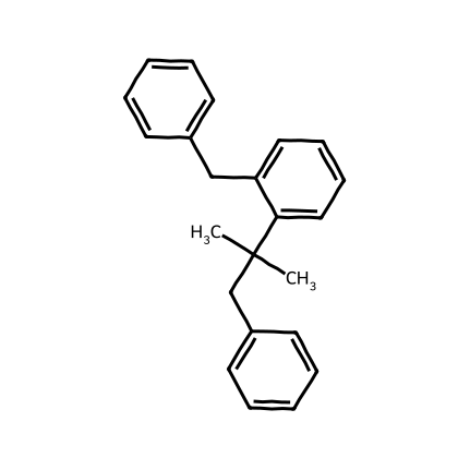 CC(C)(Cc1ccccc1)c1ccccc1Cc1ccccc1